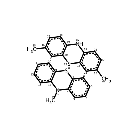 CN1c2ccccc2Sc2ccccc21.Cc1ccc2c(c1)Sc1cc(C)ccc1N2